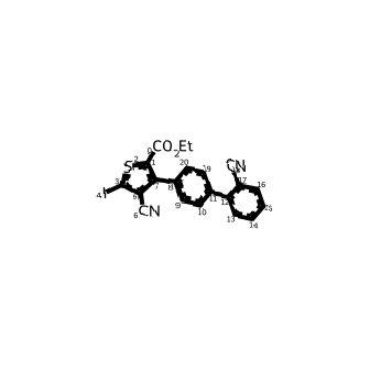 CCOC(=O)c1sc(I)c(C#N)c1-c1ccc(-c2ccccc2C#N)cc1